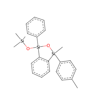 Cc1ccc([Si](C)(C)O[Si](O[Si](C)(C)C)(c2ccccc2)c2ccccc2)cc1